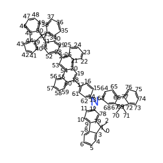 CC1(C)c2ccccc2-c2ccc(N(c3ccc(-c4cc5c6ccccc6c(-c6ccc(C7(c8ccccc8)c8ccccc8-c8ccccc87)cc6)cc5c5ccccc45)cc3)c3ccc4c(c3)C(C)(C)c3ccccc3-4)cc21